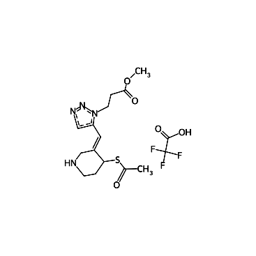 COC(=O)CCn1nncc1/C=C1\CNCCC1SC(C)=O.O=C(O)C(F)(F)F